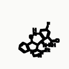 CCn1ncnc1C1c2n[nH]c(=O)c3cc(F)cc(c23)NOC1c1ccccc1